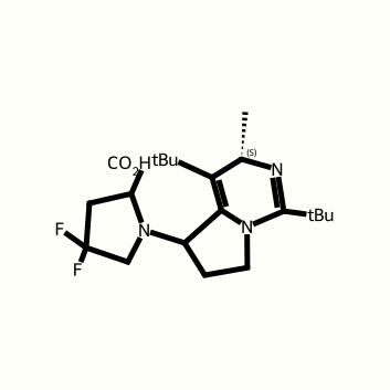 C[C@@H]1N=C(C(C)(C)C)N2CCC(N3CC(F)(F)CC3C(=O)O)C2=C1C(C)(C)C